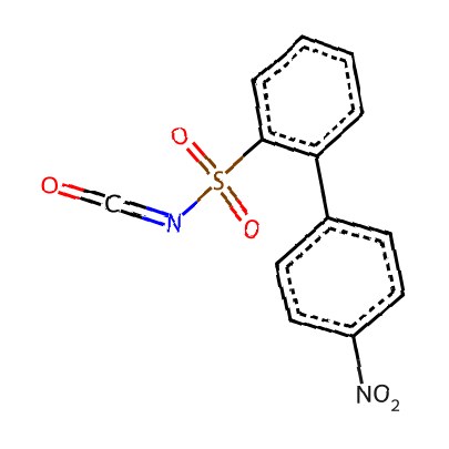 O=C=NS(=O)(=O)c1ccccc1-c1ccc([N+](=O)[O-])cc1